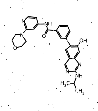 CC(C)Nc1ncc2cc(-c3cccc(C(=O)Nc4ccnc(N5CCOCC5)c4)c3)c(O)cc2n1